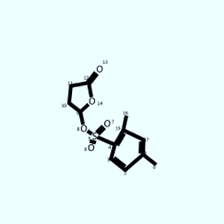 Cc1ccc(S(=O)(=O)OC2CCC(=O)O2)c(C)c1